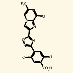 O=C(O)c1cc(Cl)c(-c2noc(-c3cn4cc(C(F)(F)F)cc(Cl)c4n3)n2)cc1Cl